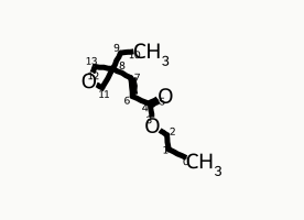 CCCOC(=O)C=CC1(CC)COC1